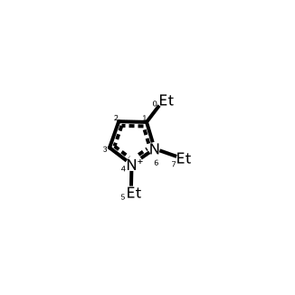 CCc1cc[n+](CC)n1CC